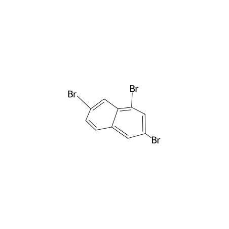 Brc1cc(Br)c2cc(Br)ccc2c1